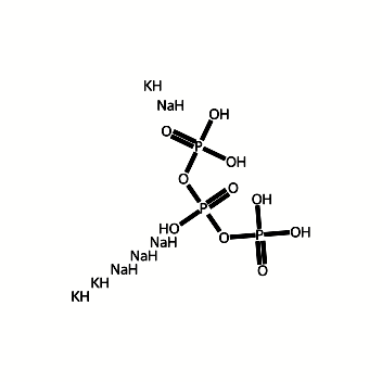 O=P(O)(O)OP(=O)(O)OP(=O)(O)O.[KH].[KH].[KH].[NaH].[NaH].[NaH].[NaH]